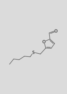 CCCCCSCc1ccc(C=O)o1